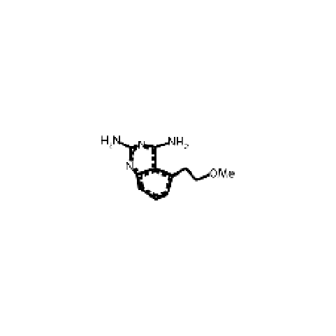 COCCc1cccc2nc(N)nc(N)c12